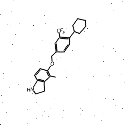 Cc1c(OCc2ccc(C3CCCCC3)c(C(F)(F)F)c2)ccc2c1CCN2